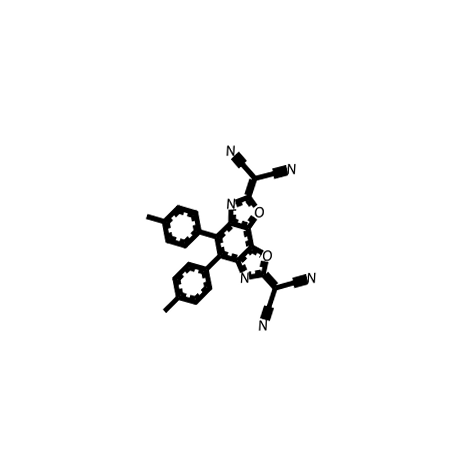 Cc1ccc(-c2c(-c3ccc(C)cc3)c3nc(=C(C#N)C#N)oc3c3oc(=C(C#N)C#N)nc23)cc1